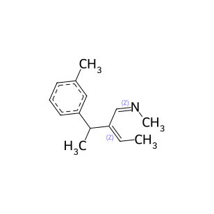 C/C=C(\C=N/C)C(C)c1cccc(C)c1